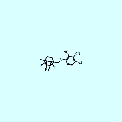 CCc1ccc(OCC23CCC(C)(CC2)C(F)(F)C3(F)F)c(C#N)c1C#N